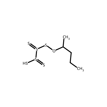 CCCC(C)OSS(=S)S(=S)S